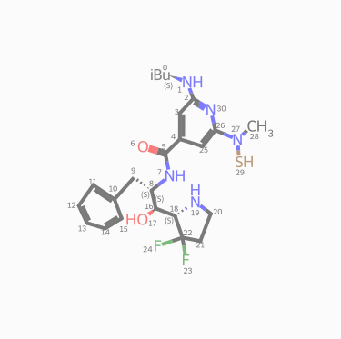 CC[C@H](C)Nc1cc(C(=O)N[C@@H](Cc2ccccc2)[C@H](O)[C@@H]2NCCC2(F)F)cc(N(C)S)n1